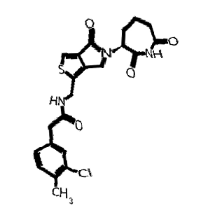 Cc1ccc(CC(=O)NCc2scc3c2CN([C@H]2CCCC(=O)NC2=O)C3=O)cc1Cl